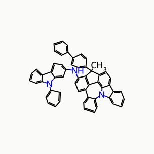 CC1(c2ccc(-c3ccccc3)cc2)c2ccc3c4ccccc4n4c3c2-c2c(ccc(Nc3ccc5c6ccccc6n(-c6ccccc6)c5c3)c21)-c1ccccc1-4